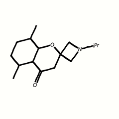 CC1CCC(C)C2C(=O)CC3(CN(C(C)C)C3)OC12